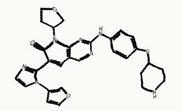 O=c1c(-c2nccn2-c2ccoc2)cc2cnc(Nc3ccc(OC4CCNCC4)cc3)nc2n1C1CCOC1